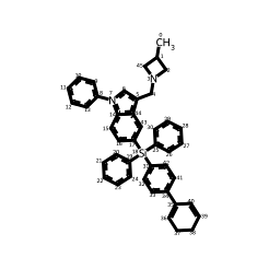 CC1CN(Cc2cn(-c3ccccc3)c3ccc([Si](c4ccccc4)(c4ccccc4)c4ccc(C5=CCCC=C5)cc4)cc23)C1